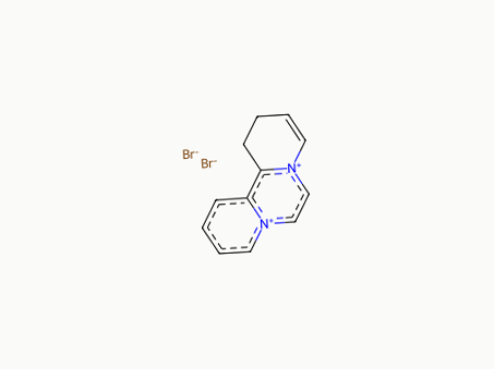 C1=C[n+]2cc[n+]3ccccc3c2CC1.[Br-].[Br-]